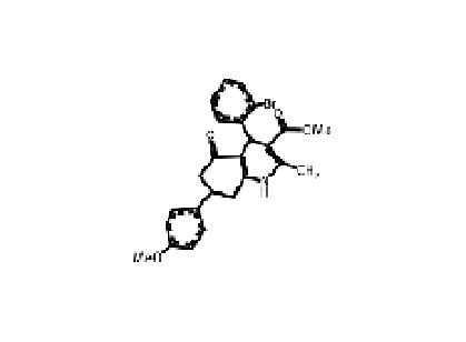 COC(=O)C1=C(C)NC2=C(C(=O)CC(c3ccc(OC)cc3)C2)C1c1ccccc1Br